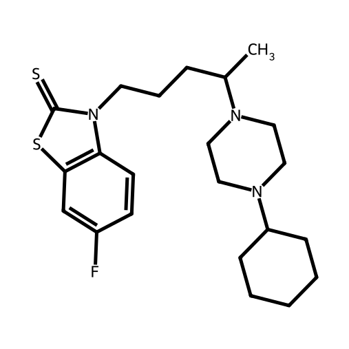 CC(CCCn1c(=S)sc2cc(F)ccc21)N1CCN(C2CCCCC2)CC1